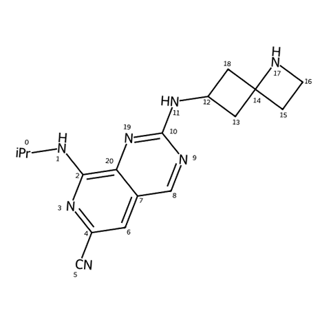 CC(C)Nc1nc(C#N)cc2cnc(NC3CC4(CCN4)C3)nc12